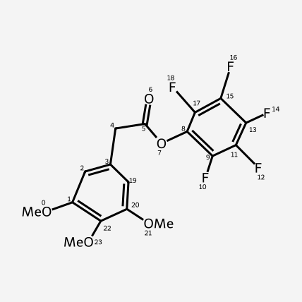 COc1cc(CC(=O)Oc2c(F)c(F)c(F)c(F)c2F)cc(OC)c1OC